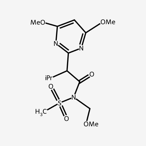 COCN(C(=O)C(c1nc(OC)cc(OC)n1)C(C)C)S(C)(=O)=O